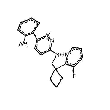 Nc1cc[c]cc1-c1ccc(NCC2(c3ncccc3F)CCC2)nn1